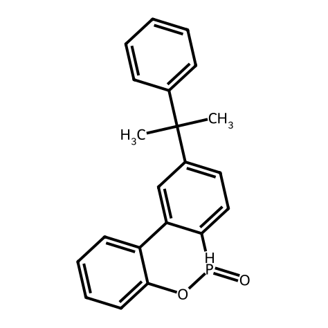 CC(C)(c1ccccc1)c1ccc2c(c1)-c1ccccc1O[PH]2=O